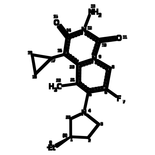 C[CH][C@@H]1CCN(c2c(F)cn3c(=O)n(N)c(=O)c(C4CC4)c3c2C)C1